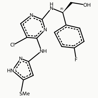 CSc1cc(Nc2nc(N[C@@H](CO)c3ccc(F)cc3)ncc2Cl)n[nH]1